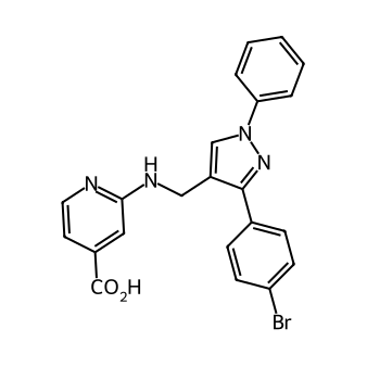 O=C(O)c1ccnc(NCc2cn(-c3ccccc3)nc2-c2ccc(Br)cc2)c1